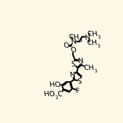 Cc1nc(COC(=O)N(C)CCN(C)C)sc1-c1csc(-c2cc(O)c(C(=O)O)cc2F)n1